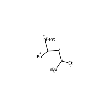 CCCCCC(CC(CC)CCCC)C(C)(C)C